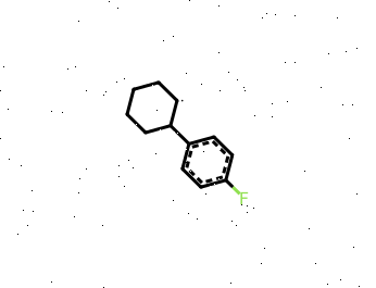 Fc1ccc(C2[CH]CCCC2)cc1